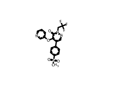 CS(=O)(=O)c1ccc(-c2cnn(CC(F)(F)F)c(=O)c2Oc2cccnc2)cc1